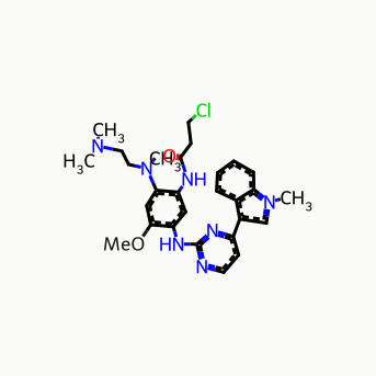 COc1cc(N(C)CCN(C)C)c(NC(=O)CCCl)cc1Nc1nccc(-c2cn(C)c3ccccc23)n1